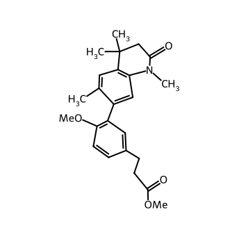 COC(=O)CCc1ccc(OC)c(-c2cc3c(cc2C)C(C)(C)CC(=O)N3C)c1